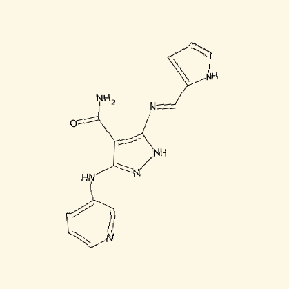 NC(=O)c1c(Nc2cccnc2)n[nH]c1N=Cc1ccc[nH]1